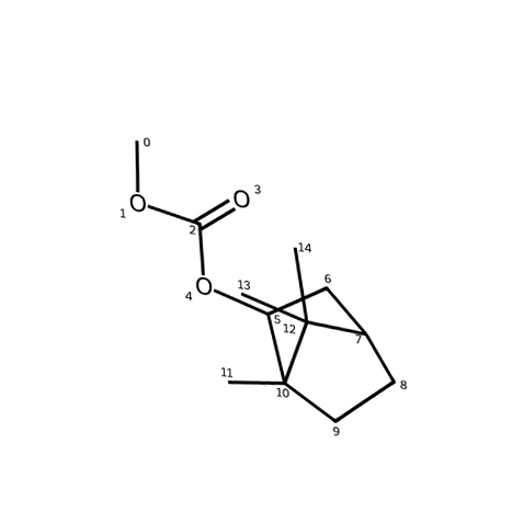 COC(=O)OC1CC2CCC1(C)C2(C)C